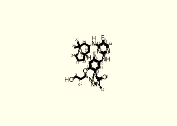 C[C@H](CO)COc1cc(F)c(Nc2ncc(F)c(N[C@@H]3C[C@@H]4CCCN4C(C)(C)C3)n2)cc1-n1nnn(C)c1=O